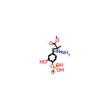 COC(=O)C(C)(Cc1ccc(OP(=O)(O)O)c(O)c1)NN